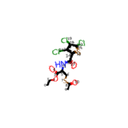 CCOC(=O)C(CSC(C)=O)NC(=O)c1sc(Cl)c(Cl)c1Cl